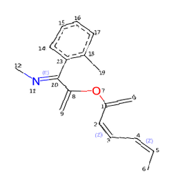 C=C(/C=C\C=C/C)OC(=C)/C(=N/C)c1ccccc1C